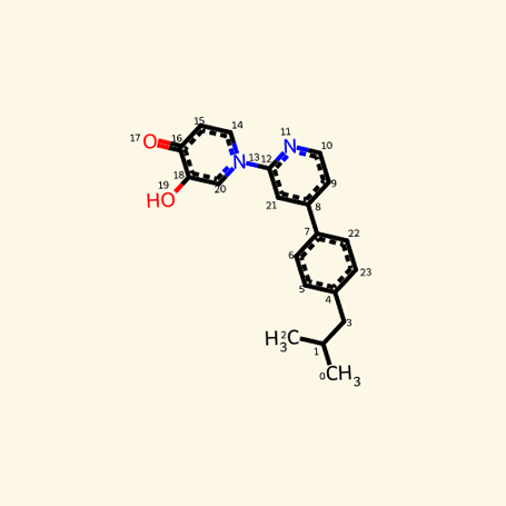 CC(C)Cc1ccc(-c2ccnc(-n3ccc(=O)c(O)c3)c2)cc1